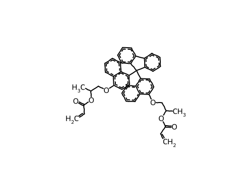 C=CC(=O)OC(C)COc1ccc(C2(c3ccc(OCC(C)OC(=O)C=C)c4ccccc34)c3ccccc3-c3ccccc32)c2ccccc12